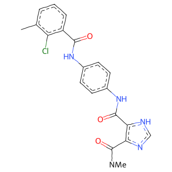 CNC(=O)c1nc[nH]c1C(=O)Nc1ccc(NC(=O)c2cccc(C)c2Cl)cc1